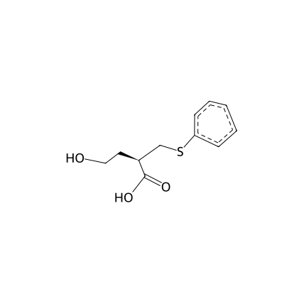 O=C(O)[C@@H](CCO)CSc1ccccc1